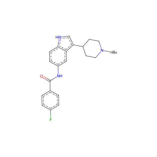 CCCCN1CCC(c2c[nH]c3ccc(NC(=O)c4ccc(F)cc4)cc23)CC1